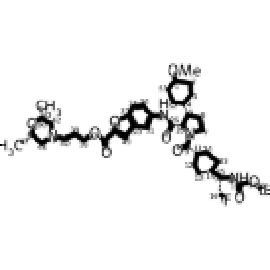 COC1CCC([C@@H]2CCN(C(=O)[C@H]3CC[C@H]([C@@H](CF)NC(=O)OC(C)(C)C)CC3)[C@@H]2C(=O)Nc2ccc3oc(C(=O)OCCCN4C[C@@H](C)O[C@@H](C)C4)cc3c2)CC1